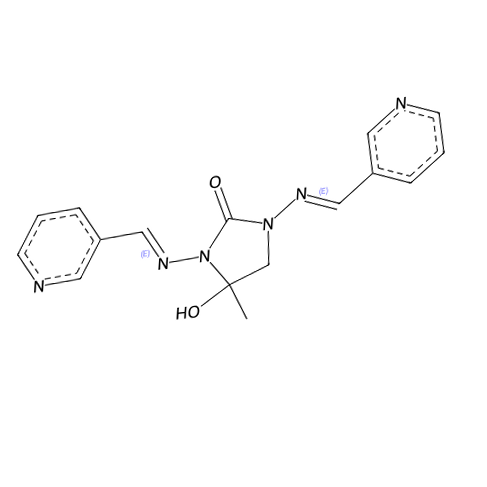 CC1(O)CN(/N=C/c2cccnc2)C(=O)N1/N=C/c1cccnc1